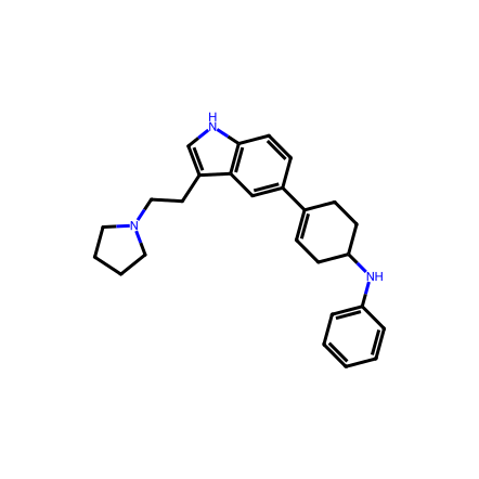 C1=C(c2ccc3[nH]cc(CCN4CCCC4)c3c2)CCC(Nc2ccccc2)C1